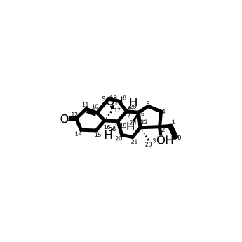 C=CC1(O)CC[C@H]2[C@@H]3CCC4=CC(=O)CC[C@]4(CO)[C@@H]3CC[C@@]21C